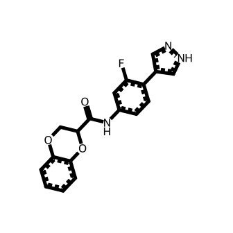 O=C(Nc1ccc(-c2cn[nH]c2)c(F)c1)C1COc2ccccc2O1